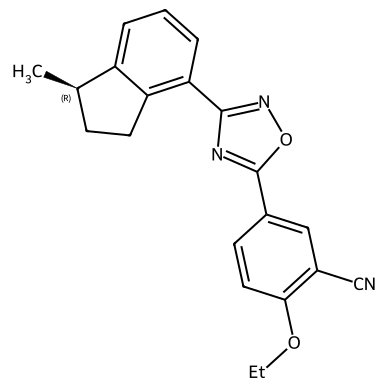 CCOc1ccc(-c2nc(-c3cccc4c3CC[C@H]4C)no2)cc1C#N